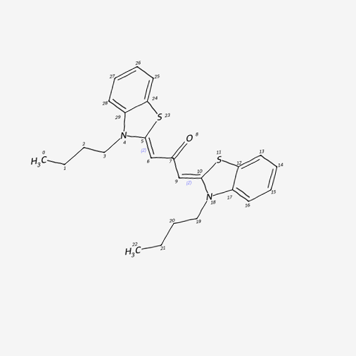 CCCCN1/C(=C/C(=O)/C=C2\Sc3ccccc3N2CCCC)Sc2ccccc21